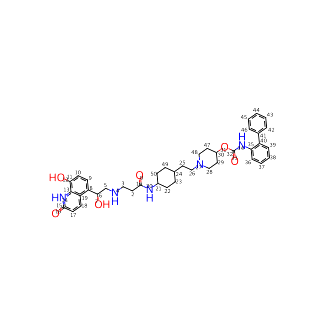 O=C(CCNC[C@@H](O)c1ccc(O)c2[nH]c(=O)ccc12)NC1CCC(CCN2CCC(OC(=O)Nc3ccccc3-c3ccccc3)CC2)CC1